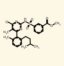 COC(=O)c1cccc(S(=O)(=O)Nc2nc(Cl)c(C)c(-c3c(C)cccc3CCC(C)C)n2)c1